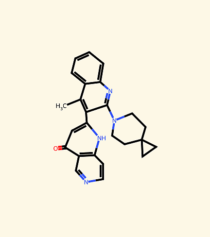 Cc1c(-c2cc(=O)c3cnccc3[nH]2)c(N2CCC3(CC2)CC3)nc2ccccc12